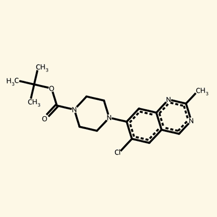 Cc1ncc2cc(Cl)c(N3CCN(C(=O)OC(C)(C)C)CC3)cc2n1